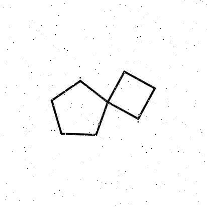 [CH]1CCCC12[CH]CC2